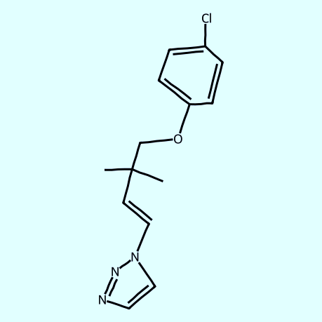 CC(C)(C=Cn1ccnn1)COc1ccc(Cl)cc1